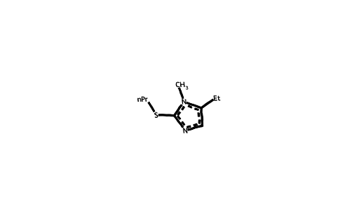 CCCSc1ncc(CC)n1C